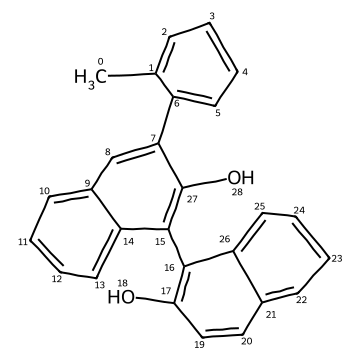 Cc1ccccc1-c1cc2ccccc2c(-c2c(O)ccc3ccccc23)c1O